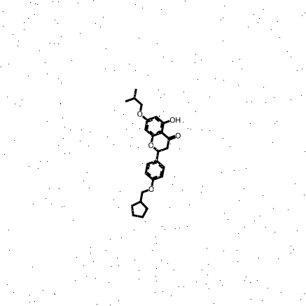 CC(C)COc1cc(O)c2c(c1)OC(c1ccc(OCC3CCCC3)cc1)CC2=O